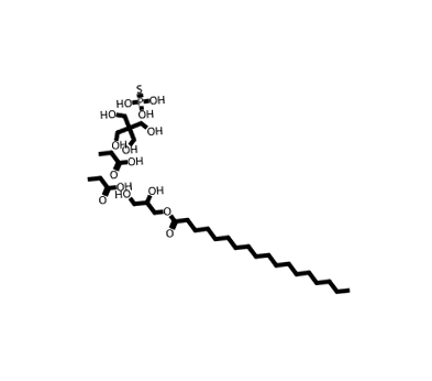 CCC(=O)O.CCC(=O)O.CCCCCCCCCCCCCCCCCC(=O)OCC(O)CO.OCC(CO)(CO)CO.OP(O)(O)=S